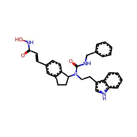 O=C(C=Cc1ccc2c(c1)CCC2N(CCc1c[nH]c2ccccc12)C(=O)NCc1ccccc1)NO